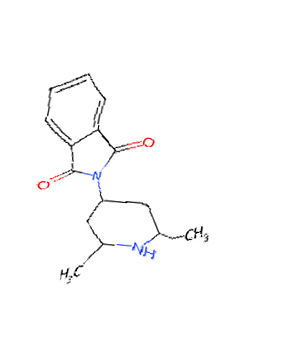 CC1CC(N2C(=O)c3ccccc3C2=O)CC(C)N1